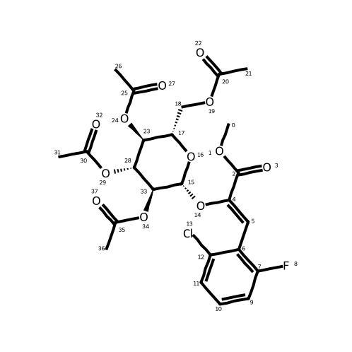 COC(=O)C(=Cc1c(F)cccc1Cl)O[C@H]1O[C@@H](COC(C)=O)[C@H](OC(C)=O)[C@@H](OC(C)=O)[C@@H]1OC(C)=O